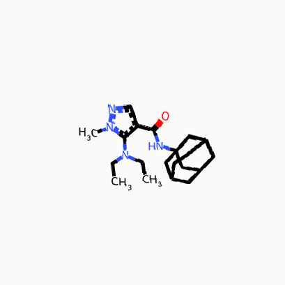 CCN(CC)c1c(C(=O)NC23CC4CC(CC(C4)C2)C3)cnn1C